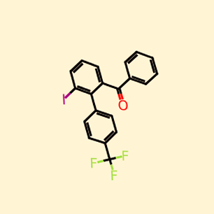 O=C(c1ccccc1)c1cccc(I)c1-c1ccc(C(F)(F)F)cc1